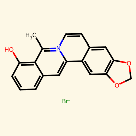 Cc1c2c(O)cccc2cc2c3cc4c(cc3cc[n+]12)OCO4.[Br-]